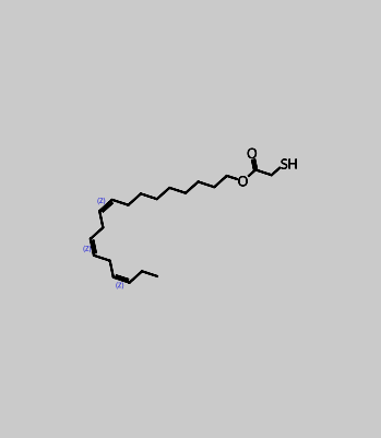 CC/C=C\C/C=C\C/C=C\CCCCCCCCOC(=O)CS